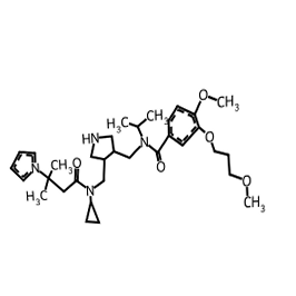 COCCCOc1cc(C(=O)N(CC2CNCC2CN(C(=O)CC(C)(C)n2cccc2)C2CC2)C(C)C)ccc1OC